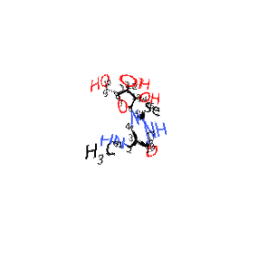 CNCc1cn([C@@H]2O[C@H](CO)[C@@H](O)[C@H]2O)c(=[Se])[nH]c1=O